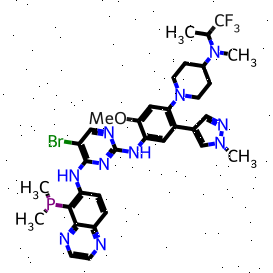 COc1cc(N2CCC(N(C)C(C)C(F)(F)F)CC2)c(-c2cnn(C)c2)cc1Nc1ncc(Br)c(Nc2ccc3nccnc3c2P(C)C)n1